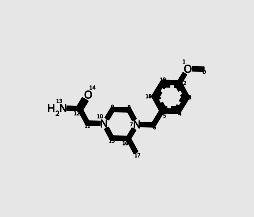 COc1ccc(CN2CCN(CC(N)=O)CC2C)cc1